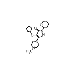 CN1CCN(c2cnn(C3CCCCO3)c(=O)c2OC2CCCC2)CC1